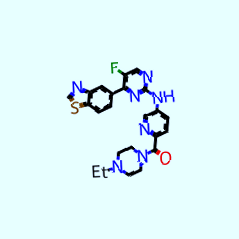 CCN1CCN(C(=O)c2ccc(Nc3ncc(F)c(-c4ccc5scnc5c4)n3)cn2)CC1